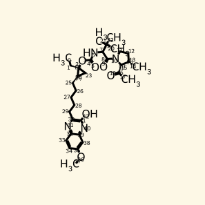 CC[C@@]1(OC(=O)NC(C(=O)N2CC[C@@H](C)[C@H]2C(C)=O)C(C)(C)C)C[C@H]1CCCCCc1nc2ccc(OC)cc2nc1O